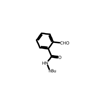 [CH2]CCCNC(=O)c1ccccc1C=O